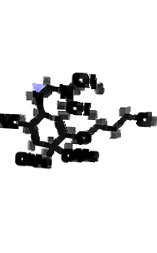 COC1(OC)C=C(C#N)C(/N=C\N(C)C)C=C1OCCCCl